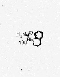 CCCCN(C(N)=O)N1CCCc2ccccc21